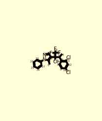 Cc1c(C(O)(C(C)c2ccc(Cl)cc2Cl)C(F)(F)F)cnn1-c1ccccc1